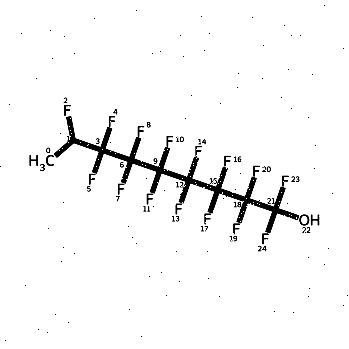 CC(F)C(F)(F)C(F)(F)C(F)(F)C(F)(F)C(F)(F)C(F)(F)C(O)(F)F